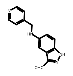 O=Cc1n[nH]c2ccc(NCc3ccncc3)cc12